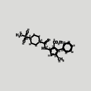 CCOC(=O)c1c(NC(=S)N2CCN(S(C)(=O)=O)CC2)sc(C)c1-c1ccccc1